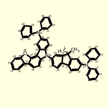 CC1(C)c2cc(N(c3ccccc3)c3ccccc3)ccc2-c2ccc(-n3c4ccc(N(c5ccccc5)c5ccccc5)cc4c4c5oc6ccccc6c5ccc43)cc21